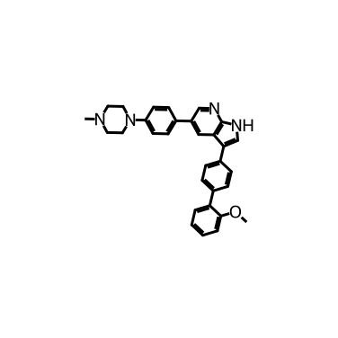 COc1ccccc1-c1ccc(-c2c[nH]c3ncc(-c4ccc(N5CCN(C)CC5)cc4)cc23)cc1